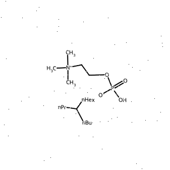 CCCCCCC(CCC)CCCC.C[N+](C)(C)CCOP(=O)([O-])O